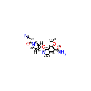 CC(C)Oc1cc2c(O[C@@H]3C[C@H]4C[C@@H]3CN(C(=O)CC#N)C4)nccc2cc1C(N)=O